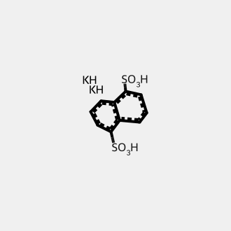 O=S(=O)(O)c1cccc2c(S(=O)(=O)O)cccc12.[KH].[KH]